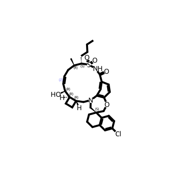 CCCC[C@H]1[C@H](C)C/C=C\[C@H](O)[C@@H]2CC[C@H]2CN2C[C@@]3(CCCc4cc(Cl)ccc43)COc3ccc(cc32)C(=O)NS1(=O)=O